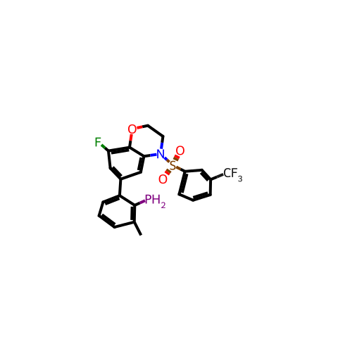 Cc1cccc(-c2cc(F)c3c(c2)N(S(=O)(=O)c2cccc(C(F)(F)F)c2)CCO3)c1P